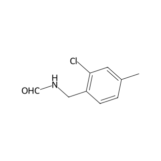 Cc1ccc(CNC=O)c(Cl)c1